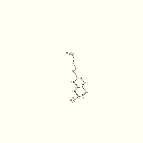 COCCCOc1ccc2ccc(C)cc2n1